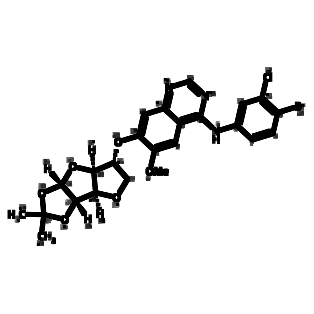 COc1cc2c(Nc3ccc(Br)c(Cl)c3)ncnc2cc1O[C@@H]1CO[C@H]2[C@@H]3OC(C)(C)O[C@@H]3O[C@H]21